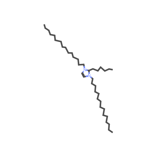 CCCCCCCCCCCCCCCN1C=CN(CCCCCCCCCCCCCCC)C1CCCCCC